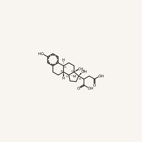 C[C@]12CC[C@@H]3c4ccc(O)cc4CC[C@H]3[C@@H]1CC[C@@]2(O)C(CC(=O)O)C(=O)O